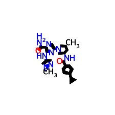 C[C@H]1C[C@H](NC(=O)c2ccc(C3CC3)cc2)CN(c2cnc(C(N)=O)c(Nc3cnn(C)c3)n2)C1